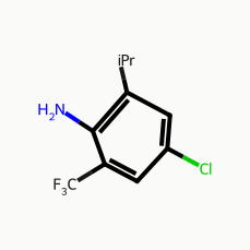 CC(C)c1cc(Cl)cc(C(F)(F)F)c1N